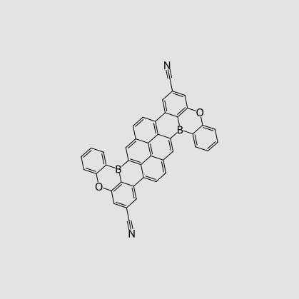 N#Cc1cc2c3c(c1)-c1ccc4cc5c6c(ccc7cc(c1c4c76)B3c1ccccc1O2)-c1cc(C#N)cc2c1B5c1ccccc1O2